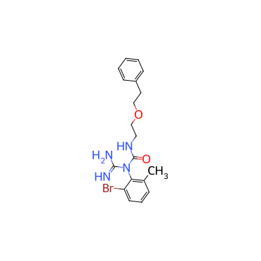 Cc1cccc(Br)c1N(C(=N)N)C(=O)NCCOCCc1ccccc1